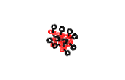 O=C(OCC1OC(OC(=O)c2ccccc2)C(OC(=O)c2ccccc2)[C@@H](O[C@@H]2OC(COC(=O)c3ccccc3)[C@@H](OC(=O)c3ccccc3)[C@H](OC(=O)c3ccccc3)C2OC(=O)c2ccccc2)[C@@H]1OC(=O)c1ccccc1)c1ccccc1